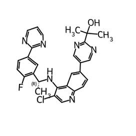 C[C@@H](Nc1c(Cl)cnc2ccc(-c3cnc(C(C)(C)O)nc3)cc12)c1cc(-c2ncccn2)ccc1F